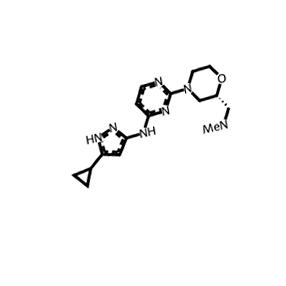 CNC[C@@H]1CN(c2nccc(Nc3cc(C4CC4)[nH]n3)n2)CCO1